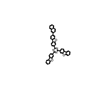 c1ccc2cc(-c3ccc4c(c3)oc3cc(-c5nc(-c6ccc7c(c6)oc6ccccc67)nc(-c6ccc7c(c6)oc6ccccc67)n5)ccc34)ccc2c1